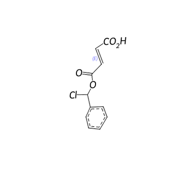 O=C(O)/C=C/C(=O)OC(Cl)c1ccccc1